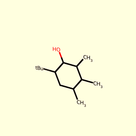 CC1CC(C(C)(C)C)C(O)C(C)C1C